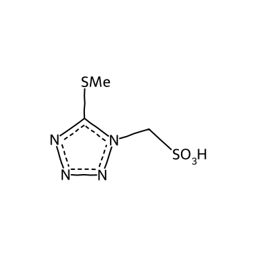 [CH2]Sc1nnnn1CS(=O)(=O)O